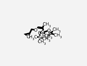 CC(=COCC1CO1)[Si](C)(O[Si](C)(C)C)O[Si](C)(C)C